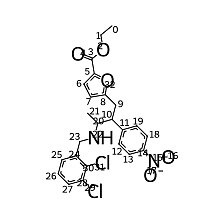 CCOC(=O)c1ccc(CC(c2ccc([N+](=O)[O-])cc2)C(C)NCc2cccc(Cl)c2Cl)o1